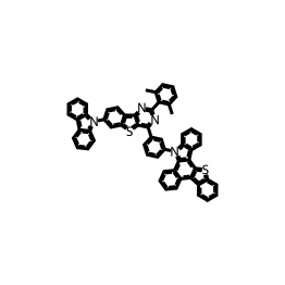 Cc1cccc(C)c1-c1nc(-c2cccc(-n3c4ccccc4c4c5sc6ccccc6c5c5ccccc5c43)c2)c2sc3cc(-n4c5ccccc5c5ccccc54)ccc3c2n1